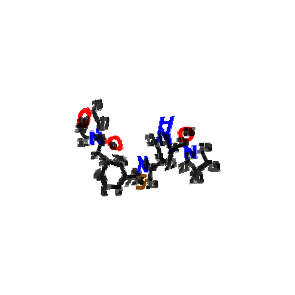 O=C(Cc1cccc(-c2nc(-c3c[nH]c(C(=O)N4CCCC4)c3)cs2)c1)N1CCOCC1